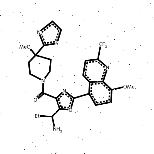 CC[C@H](N)c1oc(-c2ccc(OC)c3nc(C(F)(F)F)ccc23)nc1C(=O)N1CCC(OC)(c2nccs2)CC1